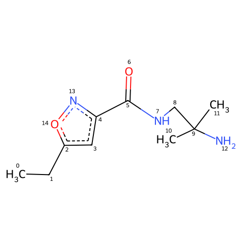 CCc1cc(C(=O)NCC(C)(C)N)no1